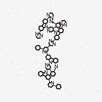 N#Cc1ccccc1-c1cc(-n2c3ccccc3c3cc(-c4cc(-c5cnc(-c6ccc7c8ccc(-c9ncccn9)cc8n(-c8cnc(-n9c%10cc(-c%11ncccn%11)ccc%10c%10ccc(-c%11ncccn%11)cc%109)cc8-c8ccccc8C#N)c7c6)nc5)cc(-c5ccccc5)n4)ccc32)ncc1-n1c2ccccc2c2cc(-c3cccc(-c4ccccc4)n3)ccc21